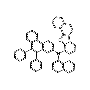 c1ccc(-c2c(-c3ccccc3)c3cc(N(c4cccc5ccccc45)c4cccc5c4oc4c6ccccc6ccc54)ccc3c3ccccc23)cc1